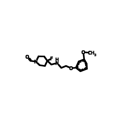 COc1cccc(OCCNCC2(F)CCN(C=O)CC2)c1